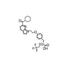 O=C(c1ccc2ccn(CCOc3ccc(C[C@H](OCC(F)(F)F)C(=O)O)cc3)c2n1)C1CCCCC1